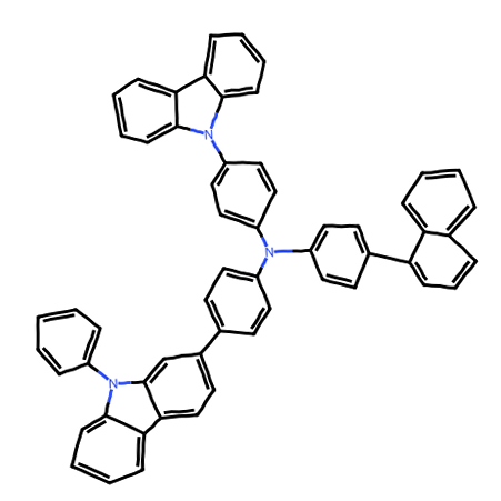 c1ccc(-n2c3ccccc3c3ccc(-c4ccc(N(c5ccc(-c6cccc7ccccc67)cc5)c5ccc(-n6c7ccccc7c7ccccc76)cc5)cc4)cc32)cc1